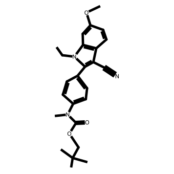 CCn1c(-c2ccc(N(C)C(=O)OCC(C)(C)C)cc2)c(C#N)c2ccc(OC)cc21